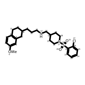 COc1ccc2c(c1)CC(CCCNCC1CCN(S(=O)(=O)c3ccccc3Cl)CC1)CC2